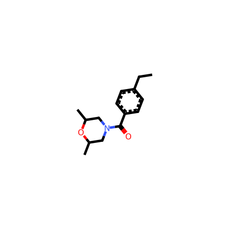 CCc1ccc(C(=O)N2CC(C)OC(C)C2)cc1